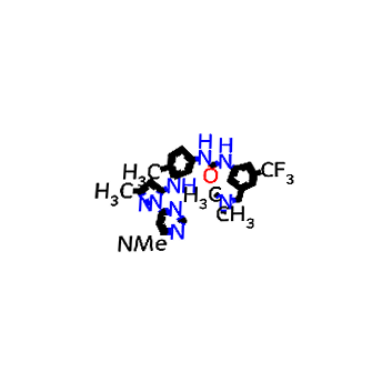 CNc1cc(-n2nc(C)cc2Nc2cc(NC(=O)Nc3cc(CN(C)C)cc(C(F)(F)F)c3)ccc2C)ncn1